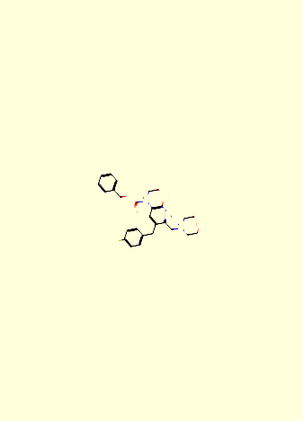 C[C@H]1COc2nc(CN3CCOCC3)c(Cc3ccc(F)cc3)cc2N1C(=O)OCc1ccccc1